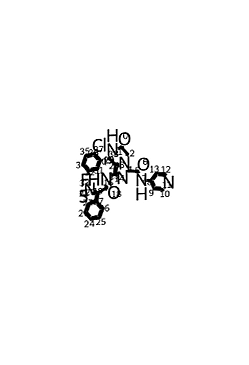 O=C1Cn2c(C(=O)Nc3ccncc3)nc(NC(=O)c3nsc4ccccc34)c2[C@H](c2cc(F)ccc2Cl)N1